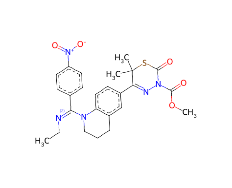 CC/N=C(/c1ccc([N+](=O)[O-])cc1)N1CCCc2cc(C3=NN(C(=O)OC)C(=O)SC3(C)C)ccc21